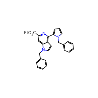 CCOC(=O)c1cc2c(ccn2Cc2ccccc2)c(-c2cccn2Cc2ccccc2)n1